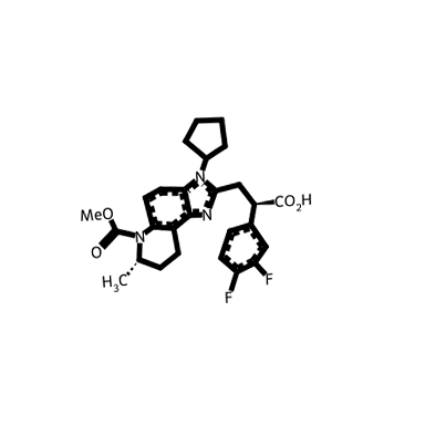 COC(=O)N1c2ccc3c(nc(C[C@@H](C(=O)O)c4ccc(F)c(F)c4)n3C3CCCC3)c2CC[C@@H]1C